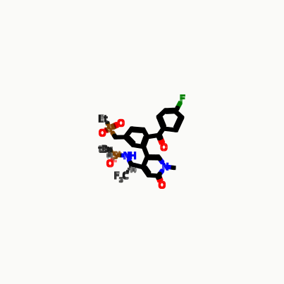 CCS(=O)(=O)Cc1ccc(C(=O)c2ccc(F)cc2)c(-c2cn(C)c(=O)cc2[C@@H](N[S@@+]([O-])C(C)(C)C)C(F)(F)F)c1